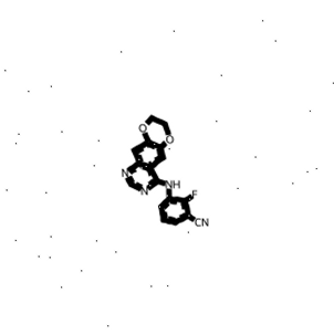 N#Cc1cccc(Nc2ncnc3cc4c(cc23)OCCO4)c1F